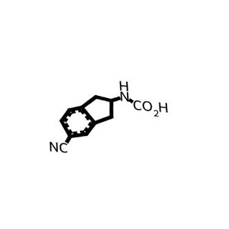 N#Cc1ccc2c(c1)CC(NC(=O)O)C2